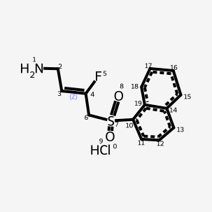 Cl.NC/C=C(\F)CS(=O)(=O)c1cccc2ccccc12